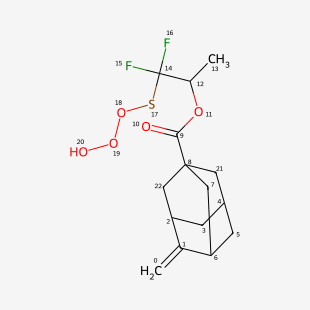 C=C1C2CC3CC1CC(C(=O)OC(C)C(F)(F)SOOO)(C3)C2